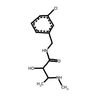 CNC(C)C(O)C(=O)NCc1cccc(Cl)c1